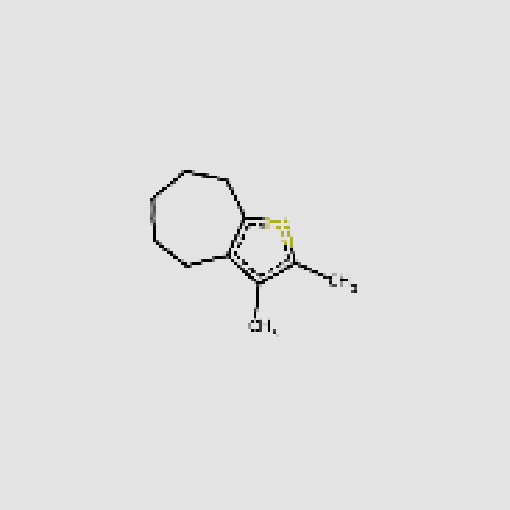 Cc1sc2c(c1C)CCCCC2